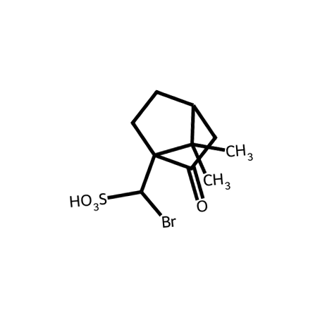 CC1(C)C2CCC1(C(Br)S(=O)(=O)O)C(=O)C2